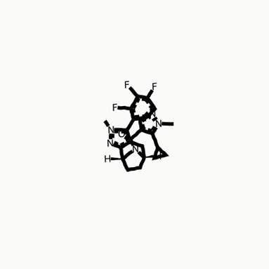 Cn1nc2c(c1-c1ccc(F)c(F)c1F)C[C@@H]1CC[C@H]2N1C(=O)c1cnn(C)c1C1CC1